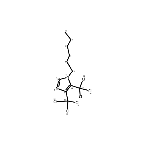 CCCCCCn1nnc(C(Cl)(Cl)Cl)c1C(Cl)(Cl)Cl